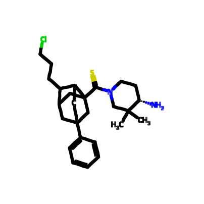 CC1(C)CN(C(=S)C23CC4CC(c5ccccc5)(CC2C4CCCCl)C3)CC[C@@H]1N